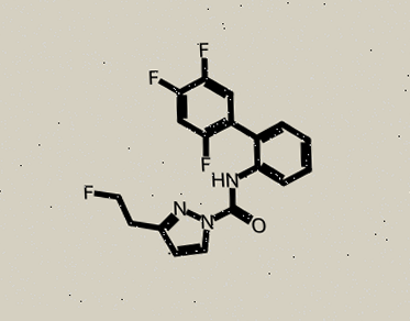 O=C(Nc1ccccc1-c1cc(F)c(F)cc1F)n1c[c]c(CCF)n1